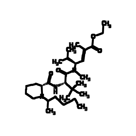 CCCCC(C)N1CCCC[C@@H]1C(=O)N[C@H](C(=O)N(C)[C@H](/C=C(\C)C(=O)OCC)C(C)C)C(C)(C)C